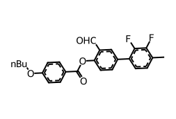 CCCCOc1ccc(C(=O)Oc2ccc(-c3ccc(C)c(F)c3F)cc2C=O)cc1